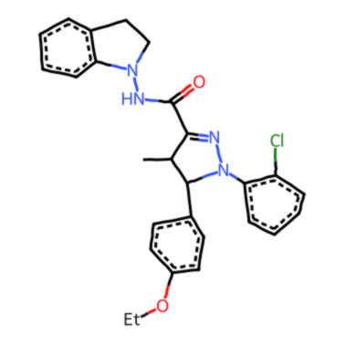 CCOc1ccc(C2C(C)C(C(=O)NN3CCc4ccccc43)=NN2c2ccccc2Cl)cc1